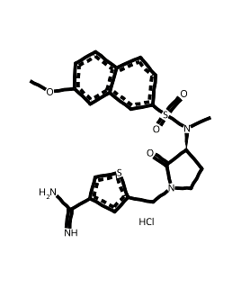 COc1ccc2ccc(S(=O)(=O)N(C)[C@H]3CCN(Cc4cc(C(=N)N)cs4)C3=O)cc2c1.Cl